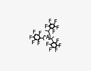 CC([CH2][Al]([CH2]C(C)c1c(F)c(F)c(F)c(F)c1F)[CH2]C(C)c1c(F)c(F)c(F)c(F)c1F)c1c(F)c(F)c(F)c(F)c1F